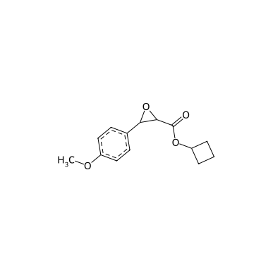 COc1ccc(C2OC2C(=O)OC2CCC2)cc1